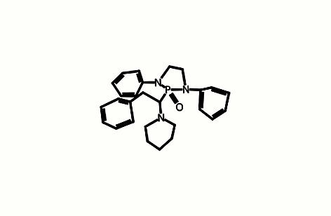 O=P1(C(Cc2ccccc2)N2CCCCC2)N(c2ccccc2)CCN1c1ccccc1